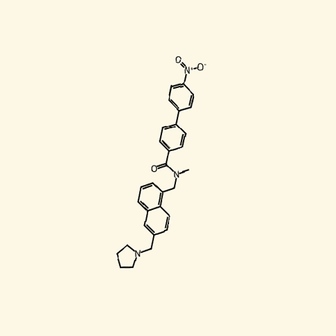 CN(Cc1cccc2cc(CN3CCCC3)ccc12)C(=O)c1ccc(-c2ccc([N+](=O)[O-])cc2)cc1